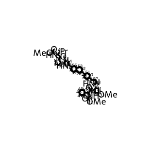 COC(=O)NC(C(=O)N1CCC[C@H]1c1ncc(-c2ccc3cc(-c4ccc(-c5cnc([C@@H]6C[C@H](OC)CN6C(=O)[C@@H](NC(=O)OC)c6ccccc6)[nH]5)cc4)ccc3c2)[nH]1)C(C)C